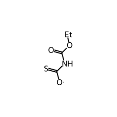 CCOC(=O)NC([O])=S